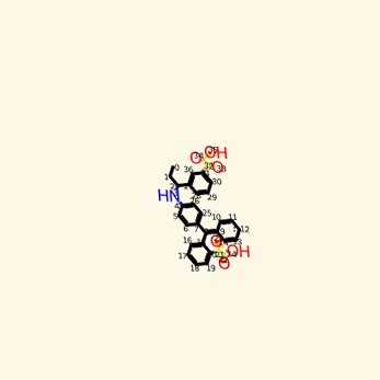 CCC(Nc1ccc(C(=C2C=C[C]C=C2)c2ccccc2S(=O)(=O)O)cc1)c1cccc(S(=O)(=O)O)c1